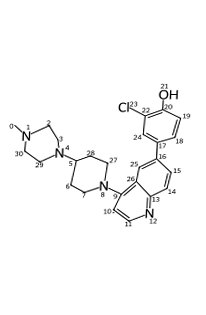 CN1CCN(C2CCN(c3[c]cnc4ccc(-c5ccc(O)c(Cl)c5)cc34)CC2)CC1